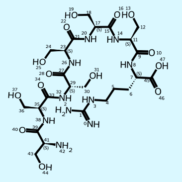 N=C(N)NCCC[C@H](NC(=O)[C@H](CO)NC(=O)[C@H](CO)NC(=O)[C@H](CO)NC(=O)[C@H](CO)NC(=O)[C@H](CO)NC(=O)[C@@H](N)CO)C(=O)O